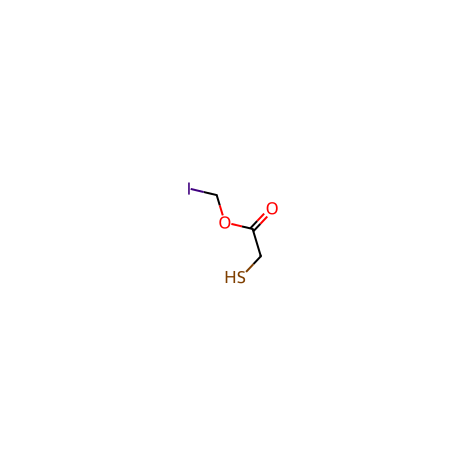 O=C(CS)OCI